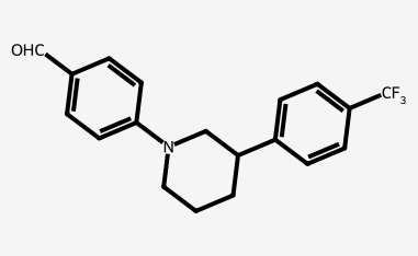 O=Cc1ccc(N2CCCC(c3ccc(C(F)(F)F)cc3)C2)cc1